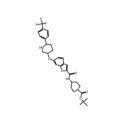 CC(C)(C)OC(=O)N1CCC(NC(=O)c2cc3ccc(OC4CCC(c5ccc(C(F)(F)F)cc5)NC4)cc3o2)CC1